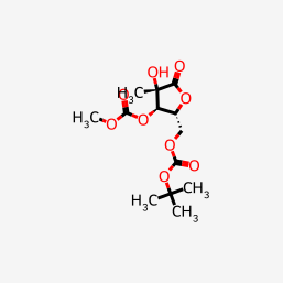 COC(=O)O[C@@H]1[C@@H](COC(=O)OC(C)(C)C)OC(=O)[C@@]1(C)O